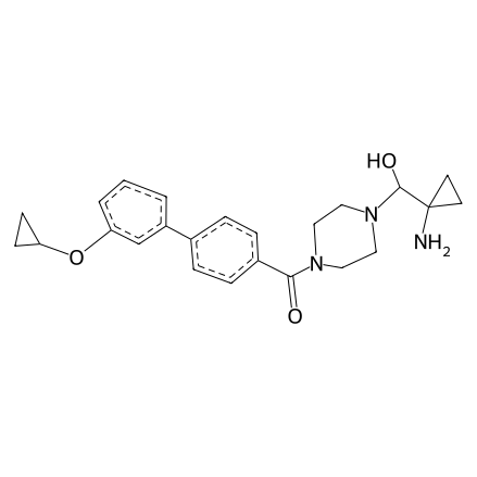 NC1(C(O)N2CCN(C(=O)c3ccc(-c4cccc(OC5CC5)c4)cc3)CC2)CC1